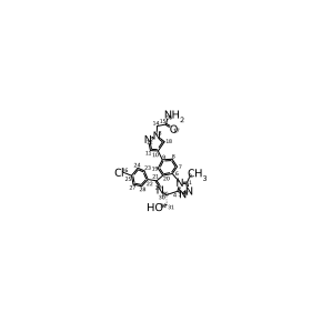 Cc1nnc2n1-c1ccc(-c3cnn(CC(N)=O)c3)cc1C(c1ccc(Cl)cc1)=N[C@H]2CO